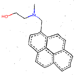 CN(CCO)Cc1ccc2ccc3cccc4ccc1c2c34